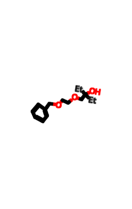 CCC(O)(CC)COCCOCc1ccccc1